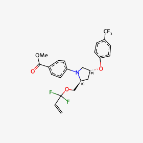 C=CC(F)(F)OC[C@@H]1C[C@@H](Oc2ccc(C(F)(F)F)cc2)CN1c1ccc(C(=O)OC)cc1